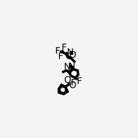 Cc1nn(Cc2cc(C(F)(F)F)no2)c2c1[C@H](OC(=O)c1ccccc1)C(F)(F)CC2